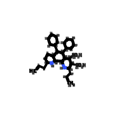 C=CCc1ccc2c(-c3ccccc3)c(-c3ccccc3)c3c(S(=O)(=O)O)c(S(=O)(=O)O)c(CC=C)nc3c2n1